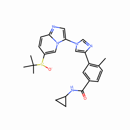 Cc1ccc(C(=O)NC2CC2)cc1-c1cn(-c2cnc3ccc([S+]([O-])C(C)(C)C)cn23)cn1